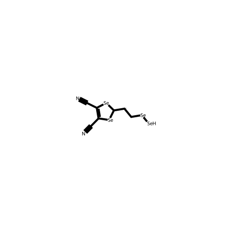 N#CC1=C(C#N)[Se]C([C]C[Se][SeH])[Se]1